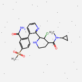 CN(C(=O)C1CCNC(c2ncccc2-c2ccc(S(C)(=O)=O)cc2C(N)=O)C1Cl)C1CC1